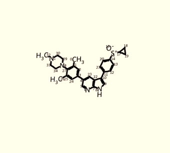 Cc1cc(-c2cnc3[nH]cc(-c4ccc([S+]([O-])C5CC5)cc4)c3c2)cc(C)c1N1CCN(C)CC1